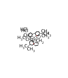 Cl.Cl.[CH2]=[Zr]([C]1=CC=CC1)([c]1ccc(C(C)C)cc1)([CH]1CCCC1)[CH]1c2cc(C(C)(C)C)ccc2-c2ccc(C(C)(C)C)cc21